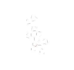 c1ccc(-c2cc3ccccc3c3ccccc23)c(-c2c3ccccc3c(-c3cccc4oc5c(-c6cccc7ccccc67)cccc5c34)c3ccccc23)c1